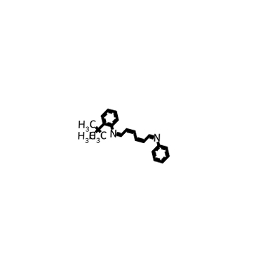 CC(C)(C)c1ccccc1\N=C/C=C\C=C/C=N\c1ccccc1